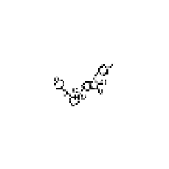 O=C1C(=O)N(Cc2ccc(F)cc2)c2ccc(S(=O)(=O)N3CCCC3COC3CCOCC3)cc21